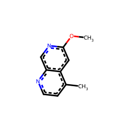 COc1cc2c(C)ccnc2cn1